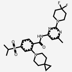 Cc1cc(NC(=O)c2ccc(S(=O)(=O)C(C)C)cc2N2CCC3(CC2)CC3)nc(N2CCC(F)(F)CC2)n1